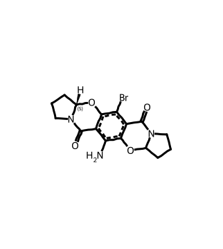 Nc1c2c(c(Br)c3c1C(=O)N1CCC[C@@H]1O3)C(=O)N1CCCC1O2